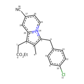 CCOC(=O)Cc1c(C)c(Cc2ccc(Cl)cc2)n2ccc(C#N)cc12